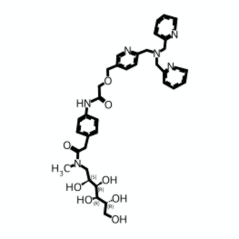 CN(C[C@H](O)[C@@H](O)[C@H](O)[C@H](O)CO)C(=O)Cc1ccc(NC(=O)COCc2ccc(CN(Cc3ccccn3)Cc3ccccn3)nc2)cc1